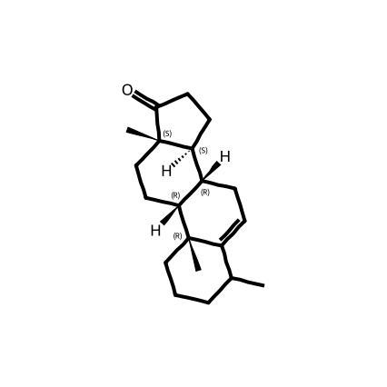 CC1CCC[C@@]2(C)C1=CC[C@@H]1[C@H]2CC[C@]2(C)C(=O)CC[C@@H]12